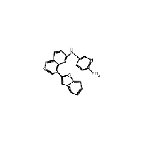 Nc1ccc(Nc2ccc3cncc(-c4cc5ccccc5o4)c3c2)cn1